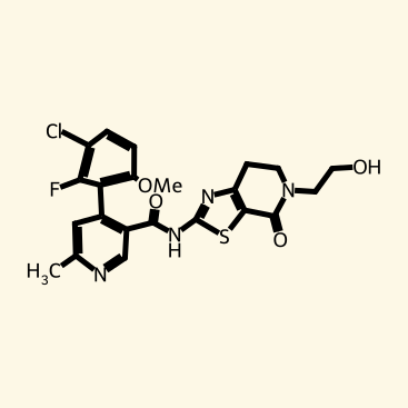 COc1ccc(Cl)c(F)c1-c1cc(C)ncc1C(=O)Nc1nc2c(s1)C(=O)N(CCO)CC2